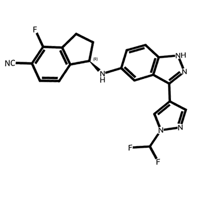 N#Cc1ccc2c(c1F)CC[C@H]2Nc1ccc2[nH]nc(-c3cnn(C(F)F)c3)c2c1